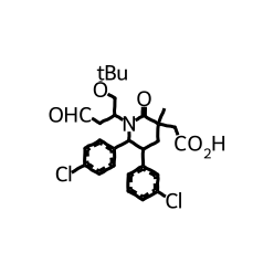 CC(C)(C)OCC(CC=O)N1C(=O)C(C)(CC(=O)O)CC(c2cccc(Cl)c2)C1c1ccc(Cl)cc1